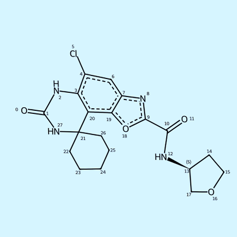 O=C1Nc2c(Cl)cc3nc(C(=O)N[C@H]4CCOC4)oc3c2C2(CCCCC2)N1